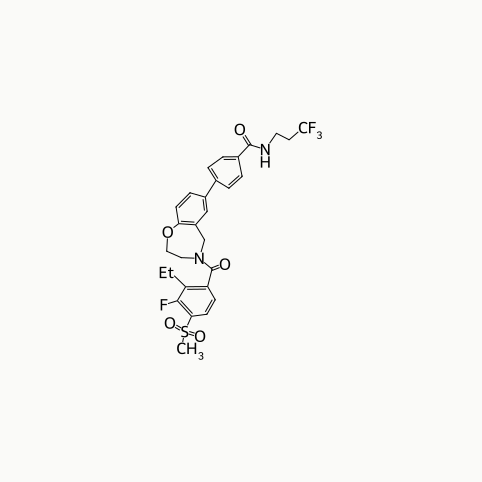 CCc1c(C(=O)N2CCOc3ccc(-c4ccc(C(=O)NCCC(F)(F)F)cc4)cc3C2)ccc(S(C)(=O)=O)c1F